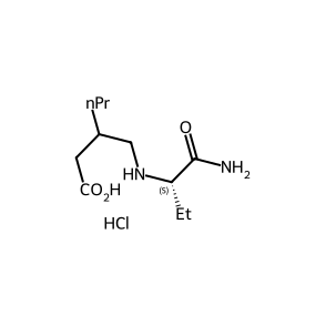 CCCC(CN[C@@H](CC)C(N)=O)CC(=O)O.Cl